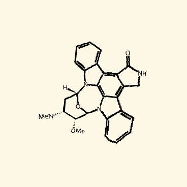 CN[C@@H]1C[C@H]2OC([C@@H]1OC)n1c3ccccc3c3c4c(c5c6ccccc6n2c5c31)C(=O)NC4